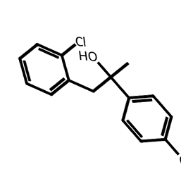 CC(O)(Cc1ccccc1Cl)c1ccc(Cl)cc1